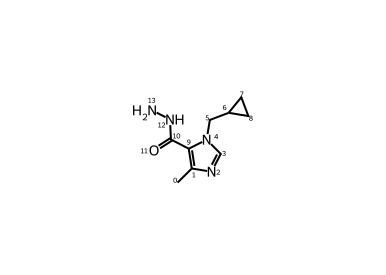 Cc1ncn(CC2CC2)c1C(=O)NN